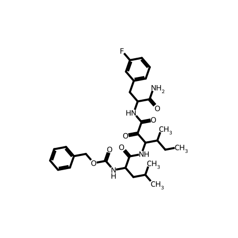 CCC(C)C(NC(=O)C(CC(C)C)NC(=O)OCc1ccccc1)C(=O)C(=O)NC(Cc1cccc(F)c1)C(N)=O